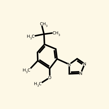 COc1c(C)cc(C(C)(C)C)cc1-n1cnnc1